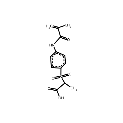 C=C(C)C(=O)Nc1ccc(S(=O)(=O)C(C)C(=O)O)cc1